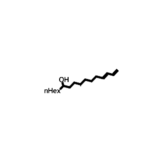 C=CC=CCCC[CH]CCC(O)CCCCCC